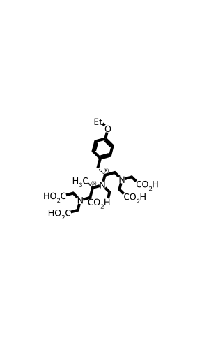 CCOc1ccc(C[C@H](CN(CC(=O)O)CC(=O)O)N(CC(=O)O)[C@@H](C)CN(CC(=O)O)CC(=O)O)cc1